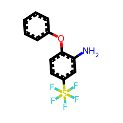 Nc1cc(S(F)(F)(F)(F)F)ccc1Oc1ccccc1